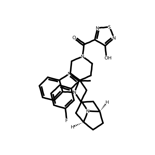 Cc1nc2ccccc2n1C1C[C@H]2CC[C@@H](C1)N2CCC1(c2cccc(F)c2)CCN(C(=O)c2nsnc2O)CC1